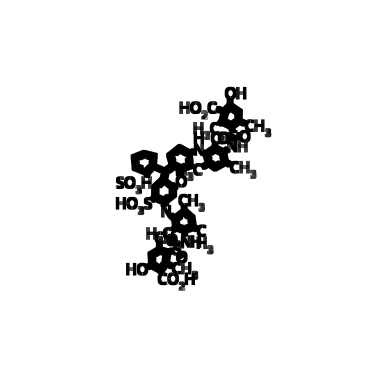 Cc1cc(C)c(NS(=O)(=O)c2c(C)cc(O)c(C(=O)O)c2C)c(C)c1/N=c1\cc2oc3cc(Nc4c(C)cc(C)c(NS(=O)(=O)c5c(C)cc(O)c(C(=O)O)c5C)c4C)ccc3c(-c3ccccc3S(=O)(=O)O)c-2cc1S(=O)(=O)O